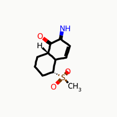 CS(=O)(=O)[C@@H]1CCC[C@@H]2C(=O)C(=N)C=CC21